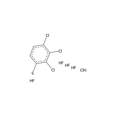 Cl.F.F.F.F.[S]c1ccc(Cl)c(Cl)c1Cl